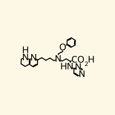 O=C(O)C(CCN(CCCCc1ccc2c(n1)NCCC2)CCOc1ccccc1)Nc1ccncn1